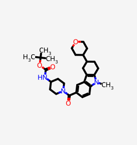 Cn1c2c(c3cc(C(=O)N4CCC(NC(=O)OC(C)(C)C)CC4)ccc31)CC(C1CCOCC1)CC2